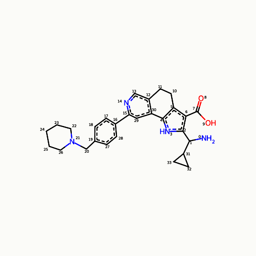 NC(c1[nH]c2c(c1C(=O)O)CCc1cnc(-c3ccc(CN4CCCCC4)cc3)cc1-2)C1CC1